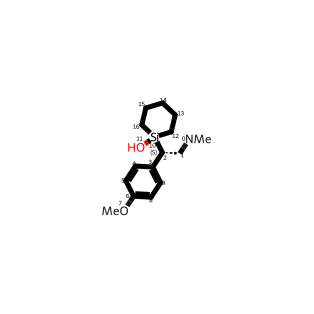 CNC[C@H](c1ccc(OC)cc1)[Si]1(O)CCCCC1